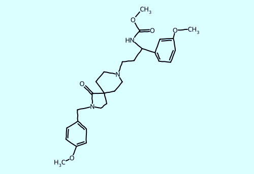 COC(=O)NC(CCN1CCC2(CC1)CCN(Cc1ccc(OC)cc1)C2=O)c1cccc(OC)c1